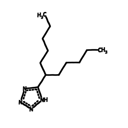 CCCCCC(CCCCC)c1nnn[nH]1